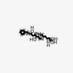 OC(CC(O)C(O)c1cnc(CCCC(O)(O)O)cn1)NCc1ccccc1